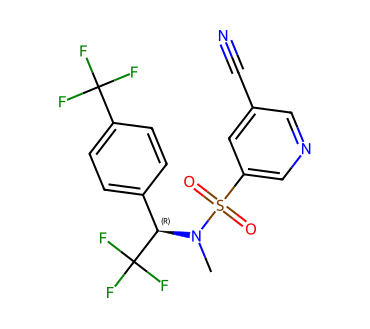 CN([C@H](c1ccc(C(F)(F)F)cc1)C(F)(F)F)S(=O)(=O)c1cncc(C#N)c1